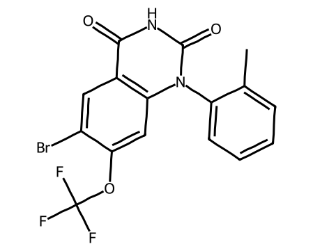 Cc1ccccc1-n1c(=O)[nH]c(=O)c2cc(Br)c(OC(F)(F)F)cc21